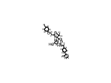 Cc1ncsc1-c1ccc([C@H](C)NC(=O)[C@@H]2C[C@@H](O)CN2C(=O)[C@@H](NC(=O)CCOc2ccc(I)cc2)C(C)(C)C)cc1